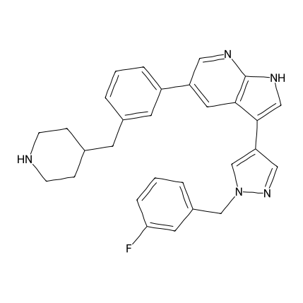 Fc1cccc(Cn2cc(-c3c[nH]c4ncc(-c5cccc(CC6CCNCC6)c5)cc34)cn2)c1